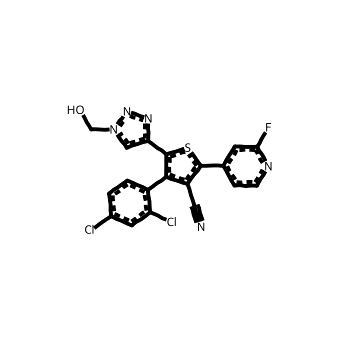 N#Cc1c(-c2ccnc(F)c2)sc(-c2cn(CO)nn2)c1-c1ccc(Cl)cc1Cl